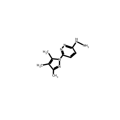 Cc1nn(-c2ccc(NN)nn2)c(C)c1C